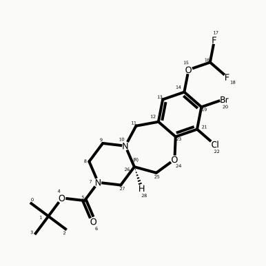 CC(C)(C)OC(=O)N1CCN2Cc3cc(OC(F)F)c(Br)c(Cl)c3OC[C@H]2C1